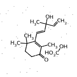 C=CC(C)(O)C=CC1=C(C)C(=O)CCC1(C)C.O=C(O)O